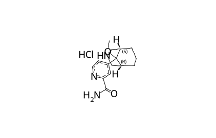 COC1(c2ccnc(C(N)=O)c2)[C@@H]2CCC[C@H]1CNC2.Cl